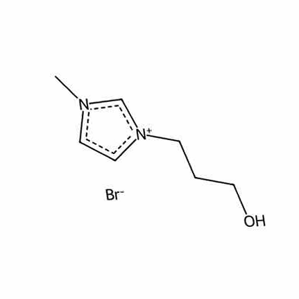 Cn1cc[n+](CCCO)c1.[Br-]